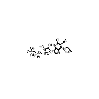 N#Cc1c(Cl)nc2c(ncn2[C@@H]2O[C@H](COP(=O)(O)CP(=O)(O)O)[C@@H](O)[C@H]2O)c1N1CC2CC2C1